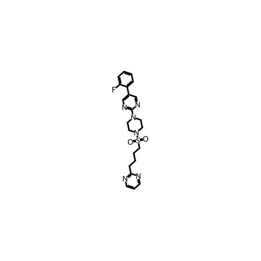 O=S(=O)(CCCCc1ncccn1)N1CCN(c2ncc(-c3ccccc3F)cn2)CC1